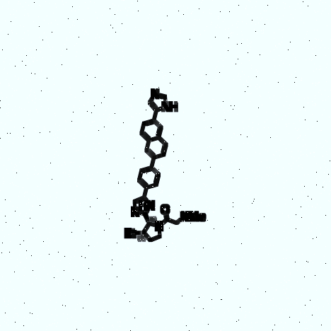 CC[C@@H]1CCN(C(=O)CNC)[C@@H]1c1ncc(-c2ccc(-c3ccc4cc(-c5cnc[nH]5)ccc4c3)cc2)[nH]1